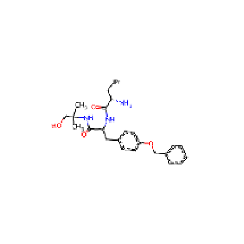 CC(C)C[C@H](N)C(=O)N[C@@H](Cc1ccc(OCc2ccccc2)cc1)C(=O)NC(C)(C)CO